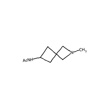 CC(=O)NC1CC2(C1)CN(C)C2